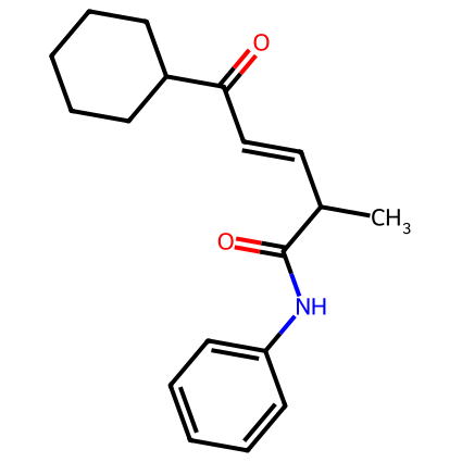 CC(C=CC(=O)C1CCCCC1)C(=O)Nc1ccccc1